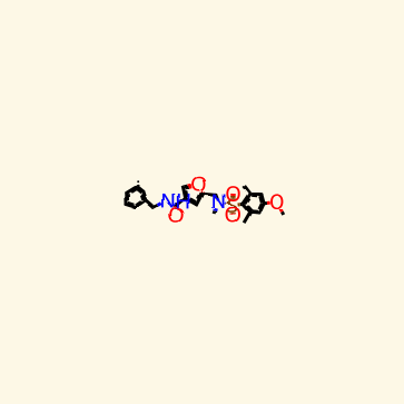 COc1cc(C)c(S(=O)(=O)N(C)Cc2cc(C(=O)NCc3c[c]ccc3)co2)c(C)c1